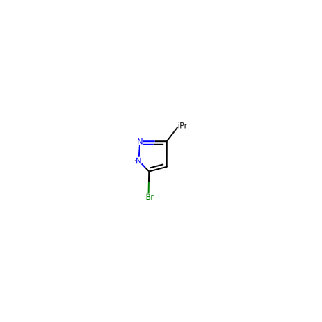 CC(C)C1=N[N]C(Br)=C1